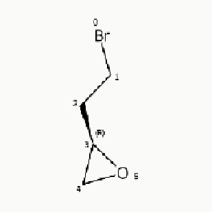 BrCC[C@@H]1CO1